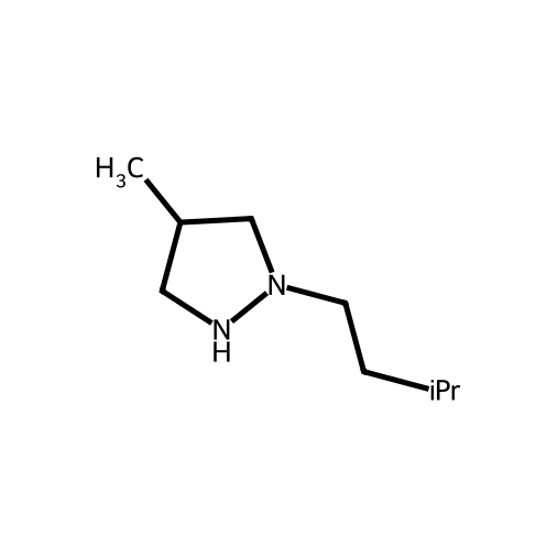 CC(C)CCN1CC(C)CN1